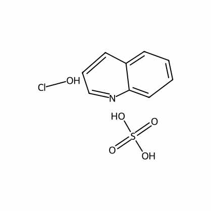 O=S(=O)(O)O.OCl.c1ccc2ncccc2c1